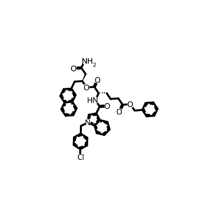 NC(=O)C[C@H](Cc1ccc2ccccc2c1)OC(=O)[C@H](CCCC(=O)OCc1ccccc1)NC(=O)c1cn(Cc2ccc(Cl)cc2)c2ccccc12